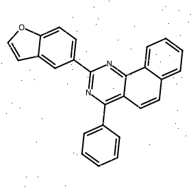 c1ccc(-c2nc(-c3ccc4occc4c3)nc3c2ccc2ccccc23)cc1